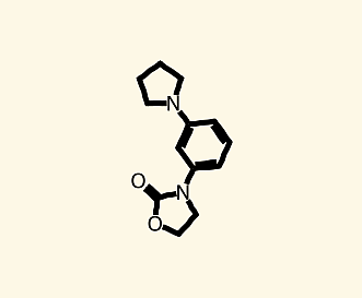 O=C1OCCN1c1cccc(N2CCCC2)c1